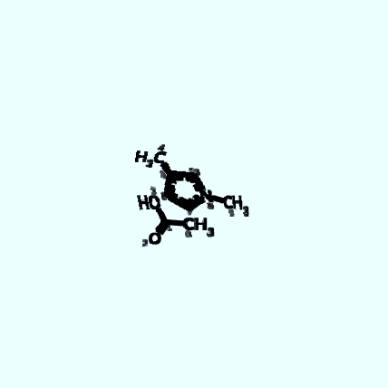 CC(=O)O.Cc1ccn(C)c1